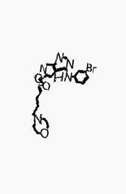 O=S(=O)(C=CCCCN1CCOCC1)c1cc2c(Nc3cccc(Br)c3)ncnc2cn1